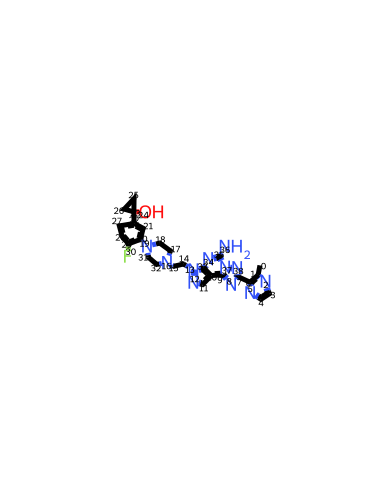 Cc1nccnc1-c1nc2c3cnn(CCN4CCN(c5cc(C6(O)CC6)ccc5F)CC4)c3nc(N)n2n1